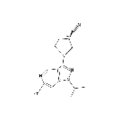 CC(C)n1nc(N2CC[C@@H](C#N)C2)c2cnc(Cl)cc21